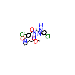 CCOC(=O)CCC1CCCN1C(=O)c1ccc(C(=O)N[C@@H](C)c2nc3cc(Cl)ccc3[nH]2)cc1Cl